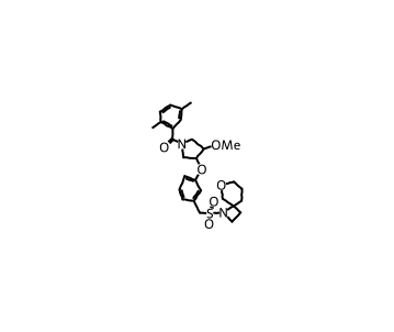 COC1CN(C(=O)c2cc(C)ccc2C)CC1Oc1cccc(CS(=O)(=O)N2CCC23CCCOC3)c1